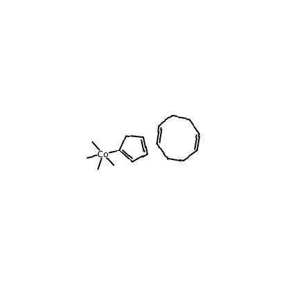 C1=C\CC/C=C\CC/1.[CH3][Co]([CH3])([CH3])([CH3])[C]1=CC=CC1